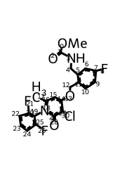 COC(=O)NCc1cc(F)ccc1COc1cc(C)n(-c2c(F)cccc2F)c(=O)c1Cl